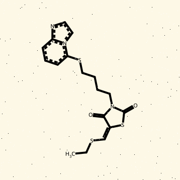 CCSC=C1SC(=O)N(CCCCSc2cccc3nccn23)C1=O